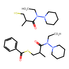 CC(CS)C(=O)N(CC(=O)O)N1CCCCC1.CC(CSC(=O)c1ccccc1)C(=O)N(CC(=O)O)N1CCCCC1